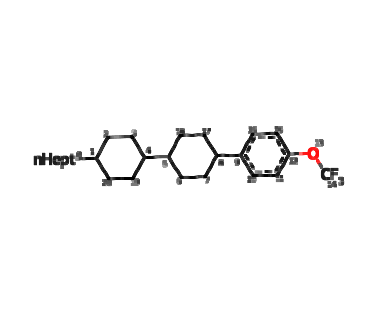 CCCCCCCC1CCC(C2CCC(c3ccc(OC(F)(F)F)cc3)CC2)CC1